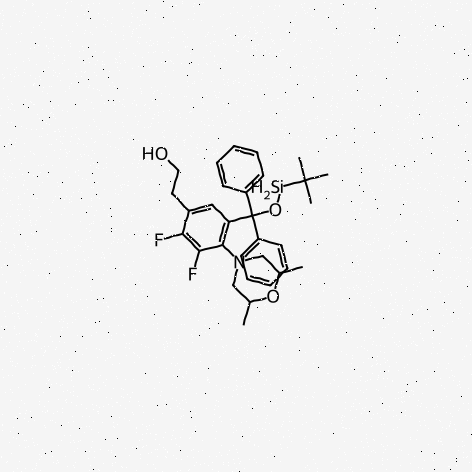 CC1CN(c2c(C(O[SiH2]C(C)(C)C)(c3ccccc3)c3ccccc3)cc(CCO)c(F)c2F)CC(C)O1